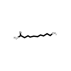 [CH2]CCCCCCCCCC(C)Br